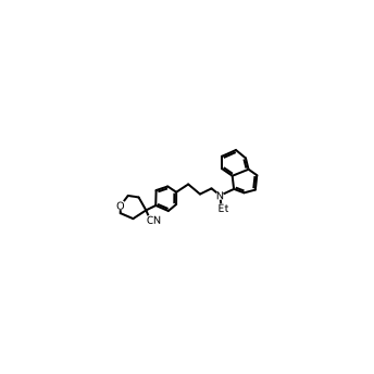 CCN(CCCc1ccc(C2(C#N)CCOCC2)cc1)c1cccc2ccccc12